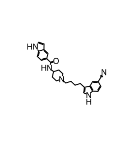 N#Cc1ccc2[nH]cc(CCCCN3CCC(NC(=O)c4ccc5[nH]ccc5c4)CC3)c2c1